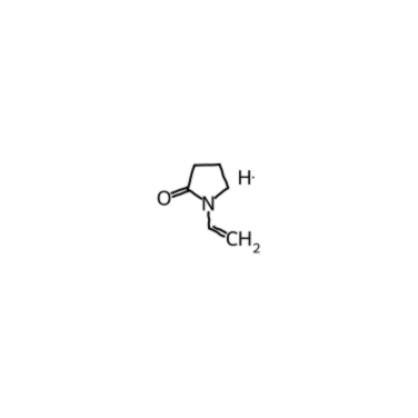 C=CN1CCCC1=O.[H]